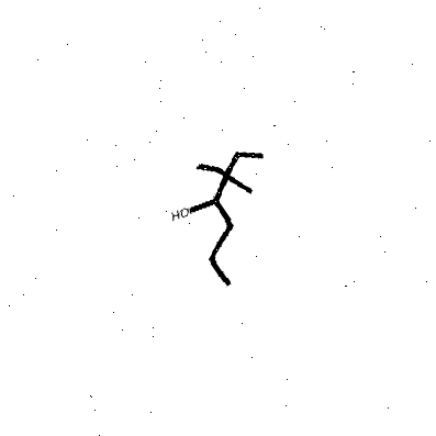 CCCC(O)C(C)(C)CC